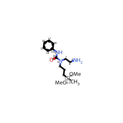 CO[Si](C)(CCCN(CCN)C(=O)Nc1ccccc1)OC